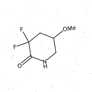 COC1CNC(=O)C(F)(F)C1